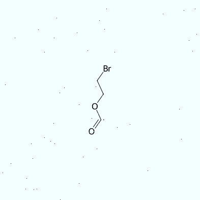 O=[C]OCCBr